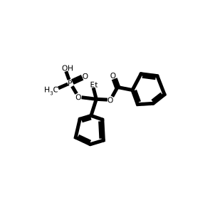 CCC(OC(=O)c1ccccc1)(OP(C)(=O)O)c1ccccc1